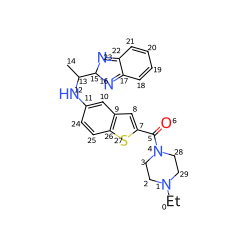 CCN1CCN(C(=O)c2cc3cc(NC(C)C4N=c5ccccc5=N4)ccc3s2)CC1